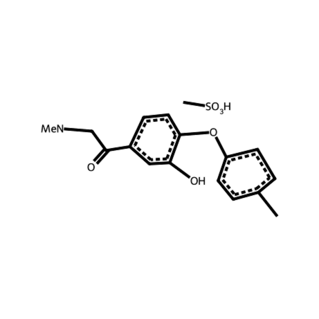 CNCC(=O)c1ccc(Oc2ccc(C)cc2)c(O)c1.CS(=O)(=O)O